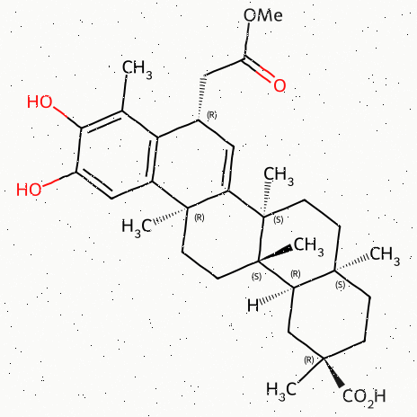 COC(=O)C[C@@H]1C=C2[C@@](C)(CC[C@@]3(C)[C@@H]4C[C@](C)(C(=O)O)CC[C@]4(C)CC[C@]23C)c2cc(O)c(O)c(C)c21